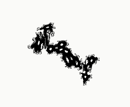 C=C(/N=C(\N=C(/C)c1c(C)cc(C)cc1C)c1c(C)cc(C)cc1C)c1ccc2c(c1)c1cccc3c4cc5c6ccc(-c7nc(-c8c(C)cc(C)cc8C)nc(-c8c(C)cc(C)cc8C)n7)cc6c6cccc(c4cc2c13)c65